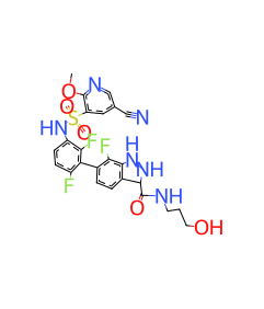 COc1ncc(C#N)cc1S(=O)(=O)Nc1ccc(F)c(-c2ccc3c(c2F)NNC3C(=O)NCCCO)c1F